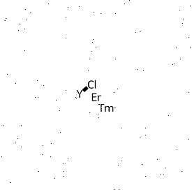 [Cl][Y].[Er].[Tm]